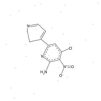 Nc1nc(C2=CC=NCC2)cc(Cl)c1[N+](=O)[O-]